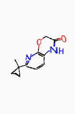 CC1(c2ccc3c(n2)OCC(=O)N3)CC1